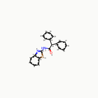 O=C(Nc1nc2ccccc2s1)C(c1ccccc1)c1ccccc1